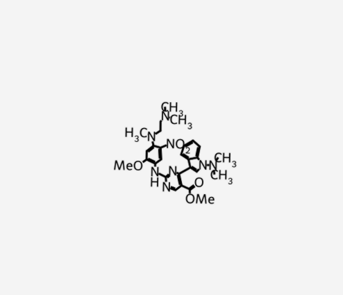 COC(=O)c1cnc(Nc2cc([N+](=O)[O-])c(N(C)CCN(C)C)cc2OC)nc1-c1cn(N(C)C)c2ccccc12